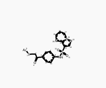 CC(=O)SCC(=O)c1ccc(NS(=O)(=O)c2cnn3cccnc23)cc1